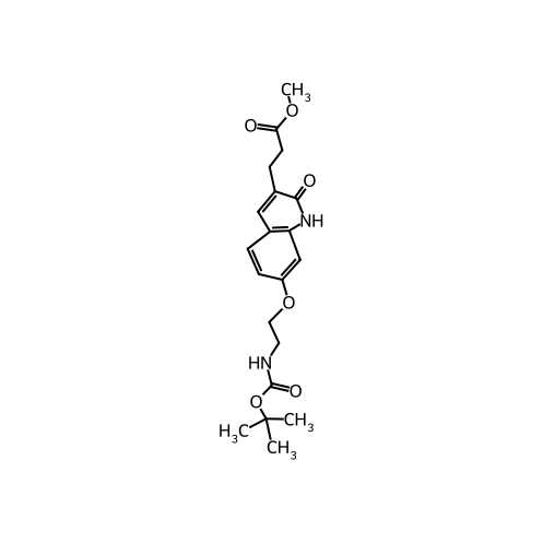 COC(=O)CCc1cc2ccc(OCCNC(=O)OC(C)(C)C)cc2[nH]c1=O